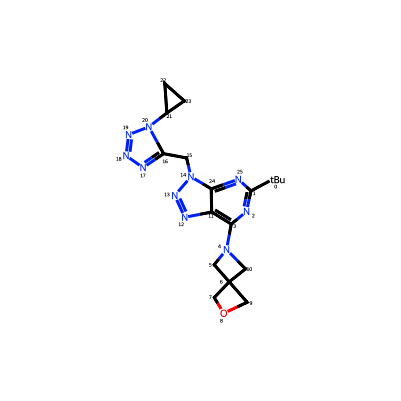 CC(C)(C)c1nc(N2CC3(COC3)C2)c2nnn(Cc3nnnn3C3CC3)c2n1